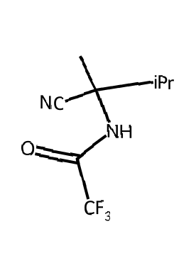 CC(C)C(C)(C#N)NC(=O)C(F)(F)F